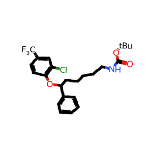 CC(C)(C)OC(=O)NCCCCCC(Oc1ccc(C(F)(F)F)cc1Cl)c1ccccc1